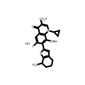 COc1c(-c2cc3c(s2)C(N)CCC3)c(F)cc2c(=O)c(C(=O)O)cn(C3CC3)c12.Cl